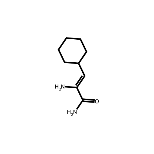 NC(=O)C(N)=CC1CCCCC1